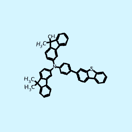 CC1(C)c2ccccc2-c2cc(N(c3ccc(-c4ccc5c(c4)sc4ccccc45)cc3)c3ccc4c(c3)-c3ccccc3C4(C)C)ccc21